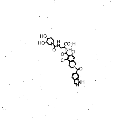 O=C(N[C@@H](CNC(=O)N1CC[C@@H](O)[C@@H](O)C1)C(=O)O)c1c(Cl)cc2c(c1Cl)CCN(C(=O)c1ccc3cn[nH]c3c1)C2